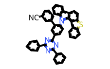 N#Cc1cccc(-c2cc(-c3nc(-c4ccccc4)nc(-c4ccccc4)n3)ccc2-n2c3ccccc3c3ccc4sc5ccccc5c4c32)c1